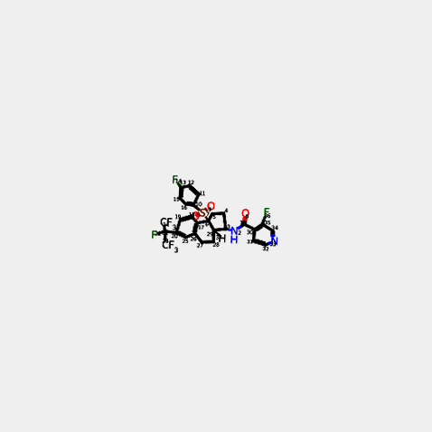 O=C(N[C@@H]1CC[C@@]2(S(=O)(=O)c3ccc(F)cc3)c3ccc(C(F)(C(F)(F)F)C(F)(F)F)cc3CC[C@@H]12)c1ccncc1F